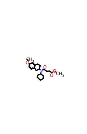 COC(=O)CCC(=O)N(C1CCCCC1)C1CCc2cc(OC)ccc2C1